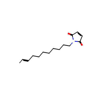 CCCCCCCCC=CCCCCCCCCN1C(=O)C=CC1=O